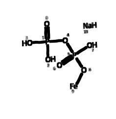 O=P(O)(O)OP(=O)(O)[O][Fe].[NaH]